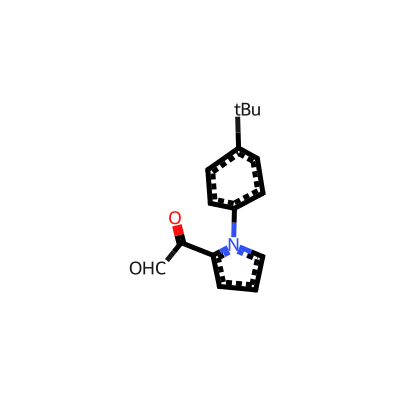 CC(C)(C)c1ccc(-n2cccc2C(=O)C=O)cc1